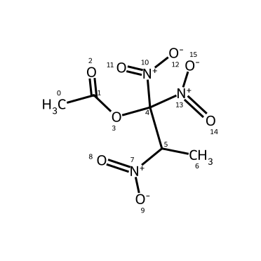 CC(=O)OC(C(C)[N+](=O)[O-])([N+](=O)[O-])[N+](=O)[O-]